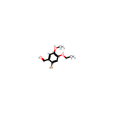 CCOc1cc(Br)c(C=O)cc1OC